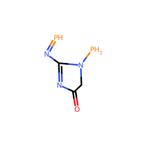 O=C1CN(P)C(N=P)=N1